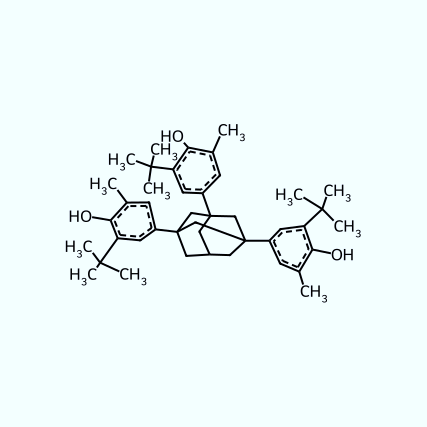 Cc1cc(C23CC4CC(c5cc(C)c(O)c(C(C)(C)C)c5)(C2)CC(c2cc(C)c(O)c(C(C)(C)C)c2)(C4)C3)cc(C(C)(C)C)c1O